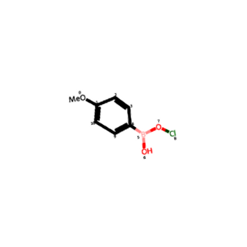 COc1ccc(B(O)OCl)cc1